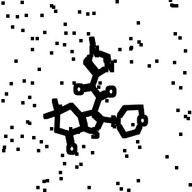 Cn1cnc(C(=O)C(=O)c2c(N3CCOCC3)sc3c2CC(C)(C)CC3=O)c1